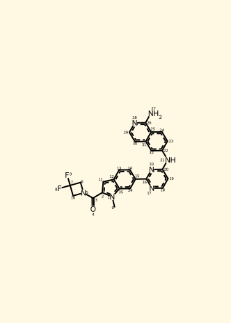 Cn1c(C(=O)N2CC(F)(F)C2)cc2ccc(-c3nccc(Nc4ccc5c(N)nccc5c4)n3)cc21